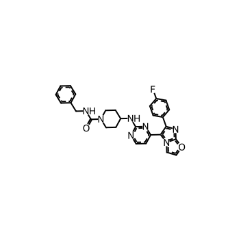 O=C(NCc1ccccc1)N1CCC(Nc2nccc(-c3c(-c4ccc(F)cc4)nc4occn34)n2)CC1